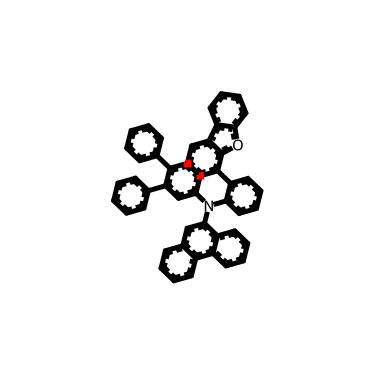 c1ccc(-c2ccc(N(c3ccccc3-c3cccc4c3oc3ccccc34)c3cc4ccccc4c4ccccc34)cc2-c2ccccc2)cc1